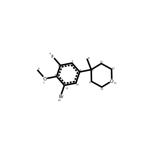 COc1c(F)cc(C2(C)CCOCC2)cc1Br